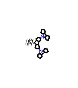 CCCC1(CCC)c2ccc(-n3c4ccccc4c4ccccc43)cc2-c2cc(-n3c4ccccc4c4ccccc43)ccc21